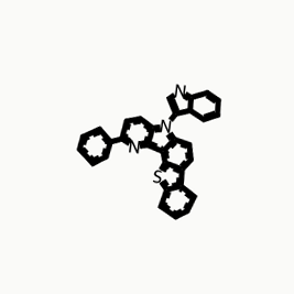 C1=CC2=NC=C(n3c4ccc(-c5ccccc5)nc4c4c5sc6ccccc6c5ccc43)C2C=C1